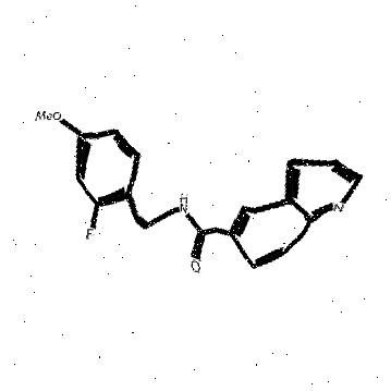 COc1ccc(CNC(=O)c2ccc3ncccc3c2)c(F)c1